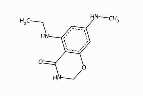 CCNc1cc(NC)cc2c1C(=O)NCO2